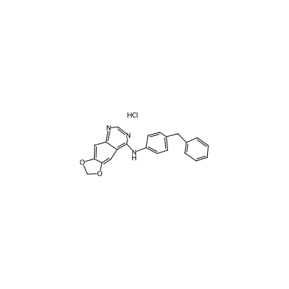 Cl.c1ccc(Cc2ccc(Nc3ncnc4cc5c(cc34)OCO5)cc2)cc1